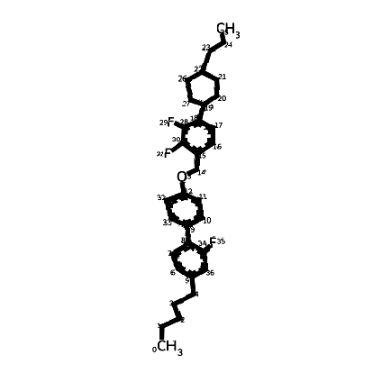 CCCCCc1ccc(-c2ccc(OCc3ccc(C4CCC(CCC)CC4)c(F)c3F)cc2)c(F)c1